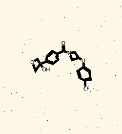 O=C(c1ccc(C2(O)COC2)cc1)N1CC(Oc2ccc(C(F)(F)F)cc2)C1